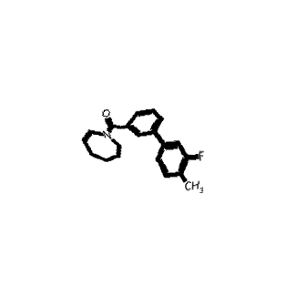 Cc1ccc(-c2cccc(C(=O)N3CCCCCC3)c2)cc1F